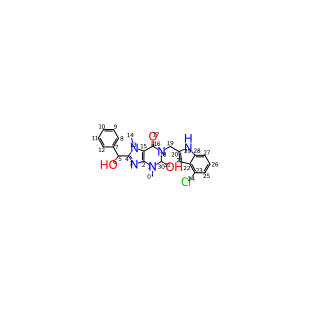 CN1c2nc(C(O)c3ccccc3)n(C)c2C(=O)N(Cc2cc3c(Cl)cccc3[nH]2)C1O